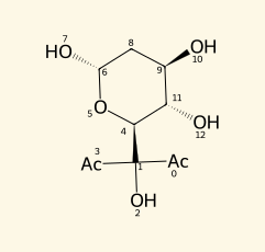 CC(=O)C(O)(C(C)=O)[C@H]1O[C@H](O)C[C@@H](O)[C@@H]1O